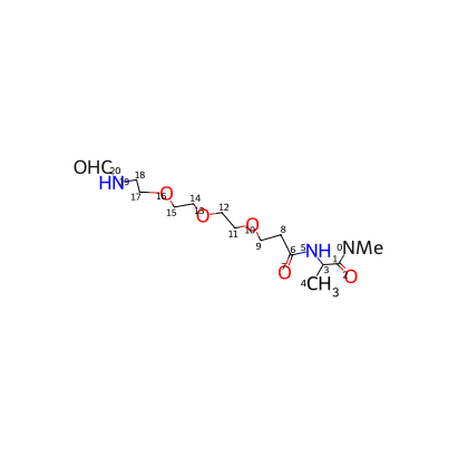 CNC(=O)C(C)NC(=O)CCOCCOCCOCCNC=O